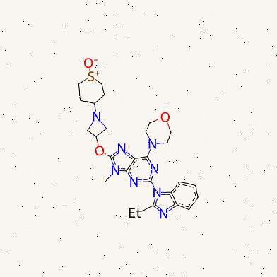 CCc1nc2ccccc2n1-c1nc(N2CCOCC2)c2nc(OC3CN(C4CC[S+]([O-])CC4)C3)n(C)c2n1